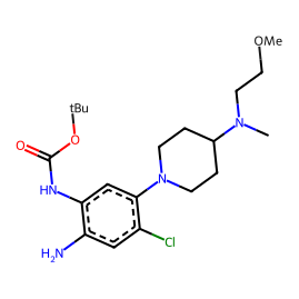 COCCN(C)C1CCN(c2cc(NC(=O)OC(C)(C)C)c(N)cc2Cl)CC1